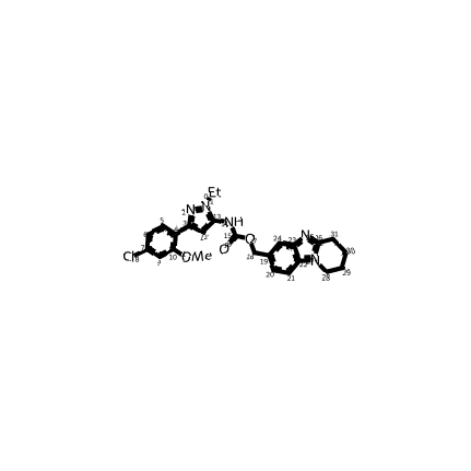 CCn1nc(-c2ccc(Cl)cc2OC)cc1NC(=O)OCc1ccc2c(c1)nc1n2CCCC1